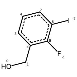 O[CH]c1cccc(I)c1F